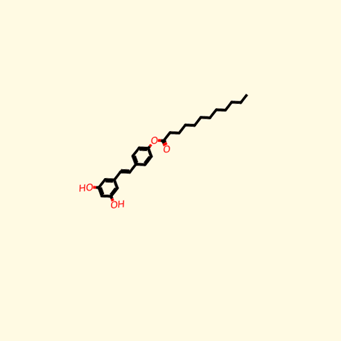 CCCCCCCCCCCC(=O)Oc1ccc(C=Cc2cc(O)cc(O)c2)cc1